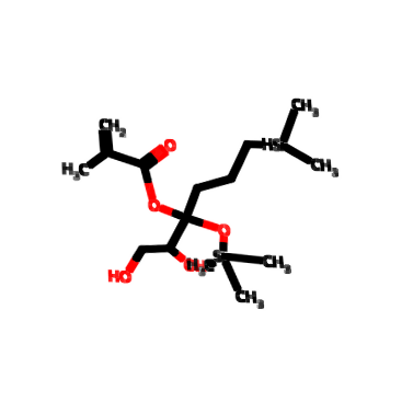 C=C(C)C(=O)OC(CCC[SiH](C)C)(O[Si](C)(C)C)C(O)CO